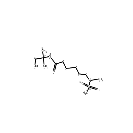 CN(CCCCCC(=O)NC(C)(C)CO)S(C)(=O)=O